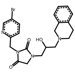 O=C1CN(CC(O)CN2CCc3ccccc3C2)C(=O)N1Cc1ccc(Br)cn1